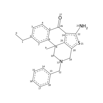 CCc1ccc2c(c1)C1(C)CN(Cc3ccccc3)Cc3sc(N)c(c31)C2=O